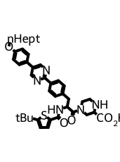 CCCCCCCOc1ccc(-c2cnc(-c3ccc(CC(NC(=O)c4ccc(C(C)(C)C)s4)C(=O)N4CCNC(C(=O)O)C4)cc3)nc2)cc1